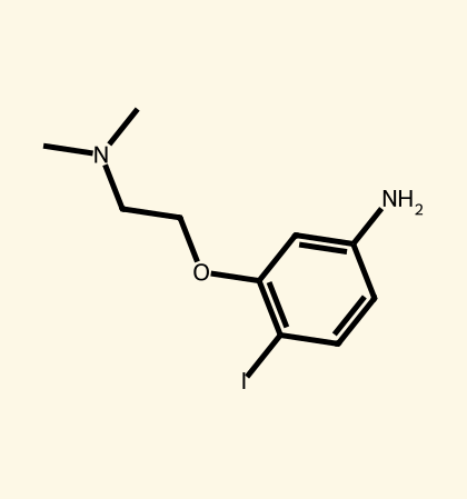 CN(C)CCOc1cc(N)ccc1I